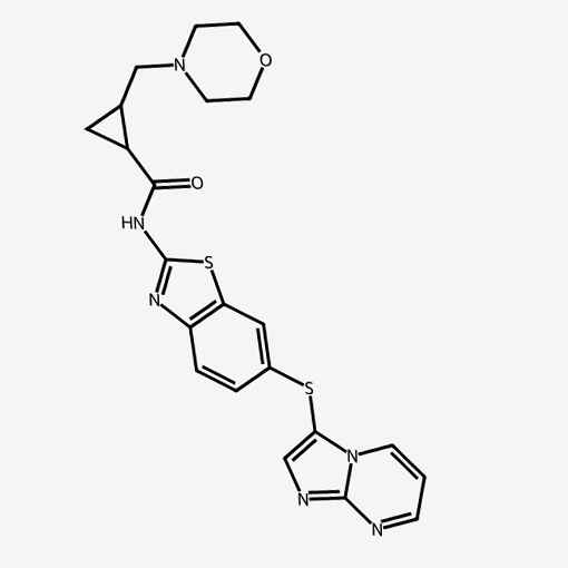 O=C(Nc1nc2ccc(Sc3cnc4ncccn34)cc2s1)C1CC1CN1CCOCC1